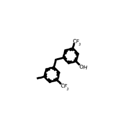 Cc1cc(Cc2cc(O)cc(C(F)(F)F)c2)cc(C(F)(F)F)c1